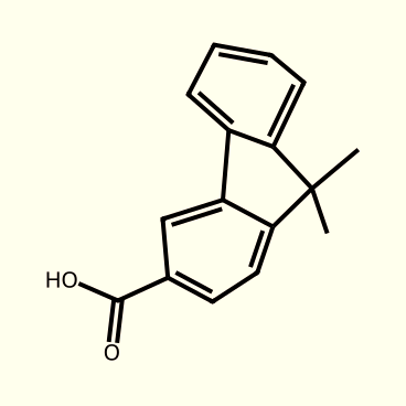 CC1(C)c2ccccc2-c2cc(C(=O)O)ccc21